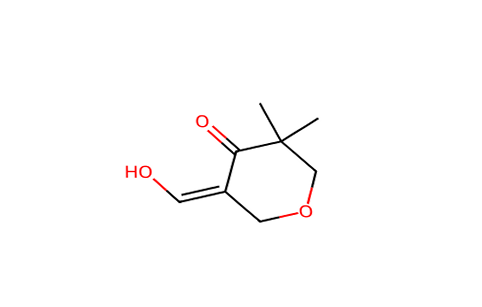 CC1(C)COCC(=CO)C1=O